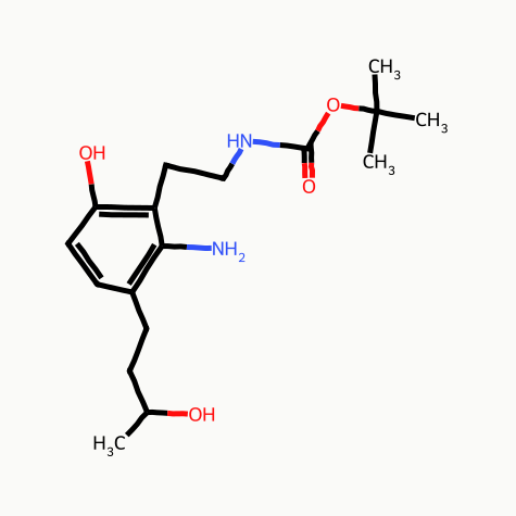 CC(O)CCc1ccc(O)c(CCNC(=O)OC(C)(C)C)c1N